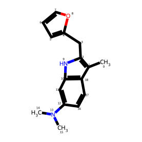 Cc1c(Cc2ccco2)[nH]c2cc(N(C)C)ccc12